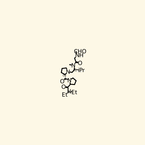 CCN(CC)C(=O)C1CCCN1C(=O)[C@@H]1CCCN1C[C@H](C(C)C)N(C)C(=O)CNC=O